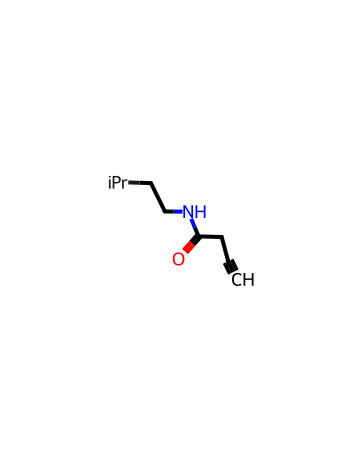 C#CCC(=O)NCCC(C)C